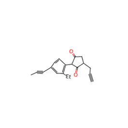 C#CCC1CC(=O)C(c2ccc(C#CC)cc2CC)C1=O